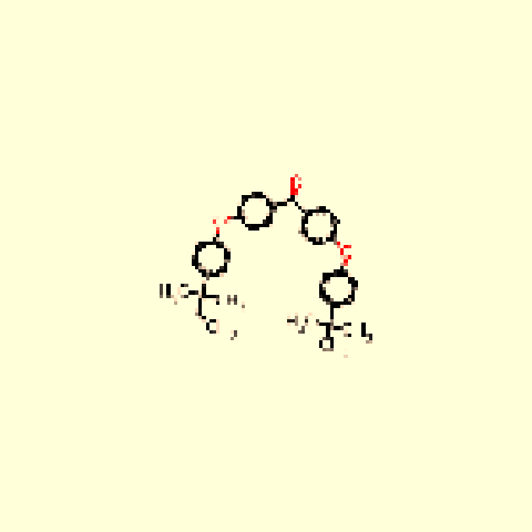 CCC(C)(C)c1ccc(Oc2ccc(C(=O)c3ccc(Oc4ccc(C(C)(C)C)cc4)cc3)cc2)cc1